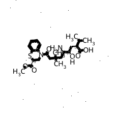 COC(=O)[C@H]1CN(C(=O)CC(C)(C)C[C@H](N)[C@@H](O)C[C@H](C(=O)O)C(C)C)c2ccccc2S1